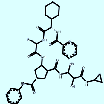 CCCC(NC(=O)C1CN(C(=O)Nc2ccccc2)CC1NC(=O)C(NC(=O)[C@@H](NC(=O)c1cnccn1)C1CCCCC1)C(C)C)C(O)C(=O)NC1CC1